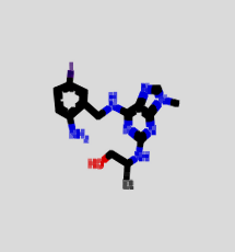 CCC(CO)Nc1nc(NCc2cc(I)ccc2N)c2ncn(C)c2n1